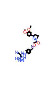 CCOc1cc(C2=NN(C(=O)CO/N=C/c3ccc(N/N=C(/C#N)c4nnn[nH]4)cc3)CCC2)ccc1OC